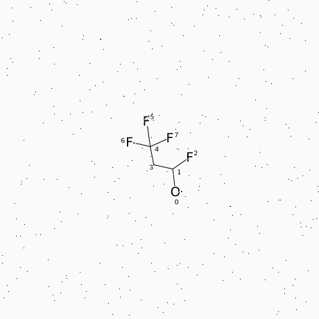 [O]C(F)CC(F)(F)F